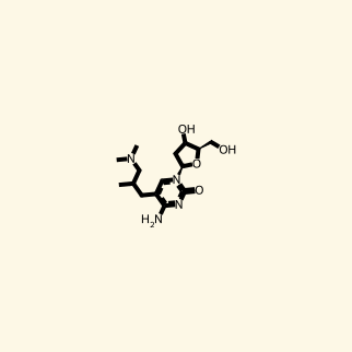 CC(Cc1cn([C@H]2CC(O)[C@@H](CO)O2)c(=O)nc1N)CN(C)C